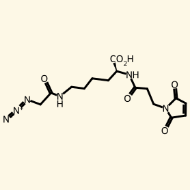 [N-]=[N+]=NCC(=O)NCCCC[C@H](NC(=O)CCN1C(=O)C=CC1=O)C(=O)O